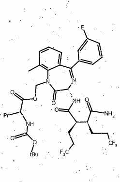 Cc1cccc2c1N(COC(=O)C(NC(=O)OC(C)(C)C)C(C)C)C(=O)[C@@H](NC(=O)[C@H](CCC(F)(F)F)[C@H](CCC(F)(F)F)C(N)=O)N=C2c1cccc(F)c1